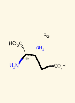 N.N[C@@H](CCC(=O)O)C(=O)O.[Fe]